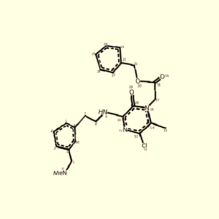 CNCc1cccc(CCNc2nc(Cl)c(C)n(CC(=O)OCc3ccccc3)c2=O)c1